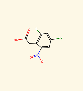 O=C(O)Cc1c(F)cc(Br)cc1[N+](=O)[O-]